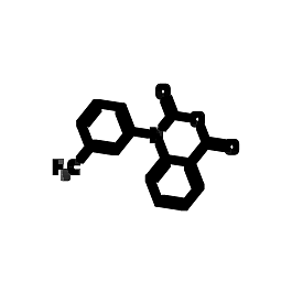 O=c1oc(=O)n(-c2cccc(C(F)(F)F)c2)c2ccccc12